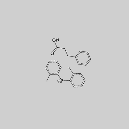 Cc1ccccc1Pc1ccccc1C.O=C(O)CCc1ccccc1